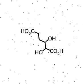 O=C(O)CC[C@@H](O)C(O)C(=O)O